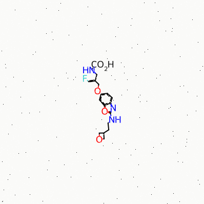 O=C(O)NCC(=CF)COc1ccc2nc(NCCC3COC3)oc2c1